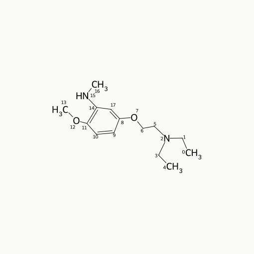 CCN(CC)CCOc1ccc(OC)c(NC)c1